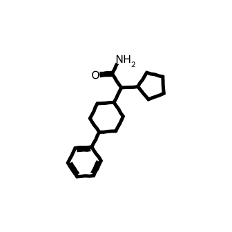 NC(=O)C(C1CCCC1)C1CCC(c2ccccc2)CC1